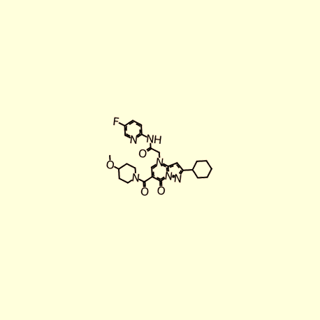 COC1CCN(C(=O)c2cn(CC(=O)Nc3ccc(F)cn3)c3cc(C4CCCCC4)nn3c2=O)CC1